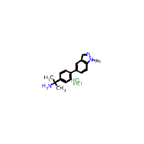 CC(=O)n1ncc2cc(-c3ccc(C(C)(C)N)cc3)ccc21.Cl.Cl